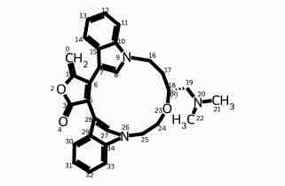 C=C1OC(=O)C2=C1c1cn(c3ccccc13)CC[C@H](CN(C)C)OCCn1cc2c2ccccc21